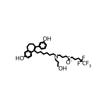 [O-][S+](CCCN(CCCO)CCCCCCC1=C(c2cccc(O)c2)CCCc2cc(O)ccc21)CCCC(F)(F)C(F)(F)F